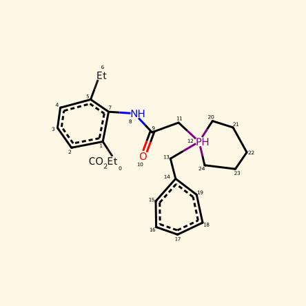 CCOC(=O)c1cccc(CC)c1NC(=O)C[PH]1(Cc2ccccc2)CCCCC1